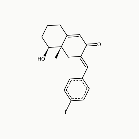 C[C@]12C/C(=C\c3ccc(I)cc3)C(=O)C=C1CCC[C@@H]2O